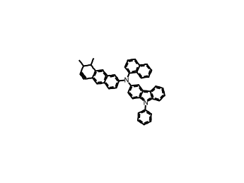 CC1C#Cc2cc3ccc(N(c4ccc5c(c4)c4ccccc4n5-c4ccccc4)c4cccc5ccccc45)cc3cc2C1C